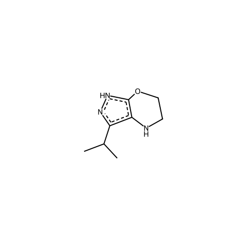 CC(C)c1n[nH]c2c1NCCO2